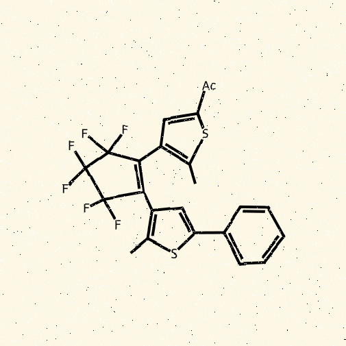 CC(=O)c1cc(C2=C(c3cc(-c4ccccc4)sc3C)C(F)(F)C(F)(F)C2(F)F)c(C)s1